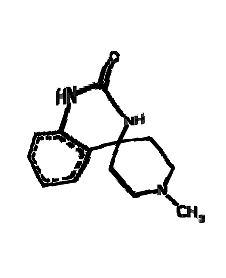 CN1CCC2(CC1)NC(=O)Nc1ccccc12